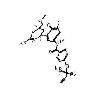 BC(B)(C#C)Oc1cnc(C(=O)Nc2cc(F)c(F)c([C@]3(C)C[C@](C)(COC)SC(N)=N3)c2)cn1